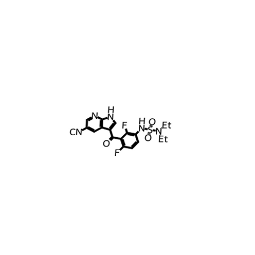 [C-]#[N+]c1cnc2[nH]cc(C(=O)c3c(F)ccc(NS(=O)(=O)N(CC)CC)c3F)c2c1